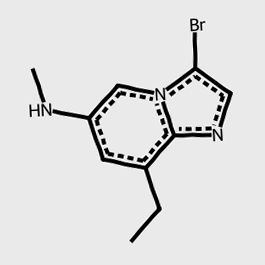 CCc1cc(NC)cn2c(Br)cnc12